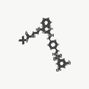 CC(C)(C)OC(=O)NCCNc1nc(NC[C@H]2CC[C@H](CNS(=O)(=O)c3cc(Cl)cc(Cl)c3)CC2)nc2ccccc12